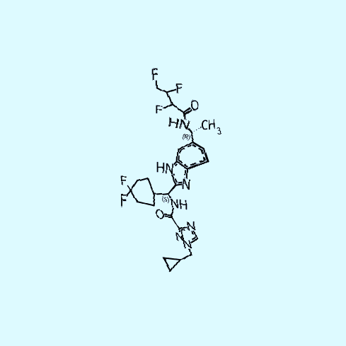 C[C@@H](NC(=O)C(F)C(F)CF)c1ccc2nc([C@@H](NC(=O)c3ncn(CC4CC4)n3)C3CCC(F)(F)CC3)[nH]c2c1